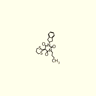 CCCCN1C(=O)C(=C2SCCCS2)C(=O)N(C2Cc3ccccc3C2)C1=O